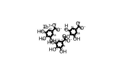 O=C([O-])c1cc(O)c(O)c(O)c1.O=C([O-])c1cc(O)c(O)c(O)c1.O=C([O-])c1cc(O)c(O)c(O)c1.[Tb+3]